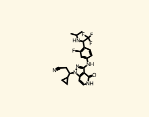 CC(C)NC(c1ccc(Nc2nn(C(CC#N)C3CC3)c3cc[nH]c(=O)c23)cc1F)C(F)(F)F